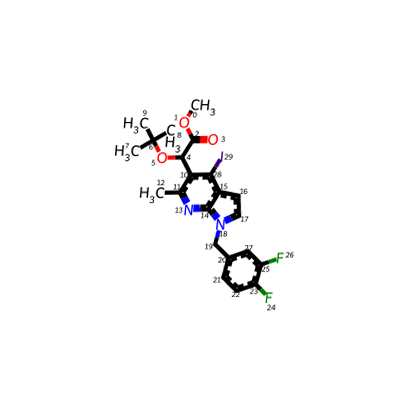 COC(=O)C(OC(C)(C)C)c1c(C)nc2c(ccn2Cc2ccc(F)c(F)c2)c1I